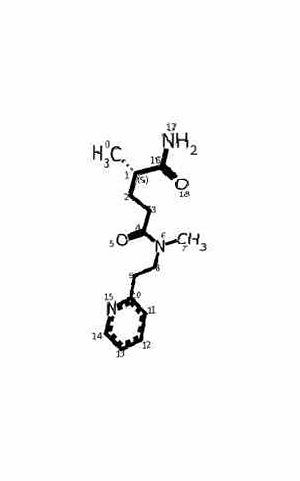 C[C@@H](C[CH]C(=O)N(C)CCc1ccccn1)C(N)=O